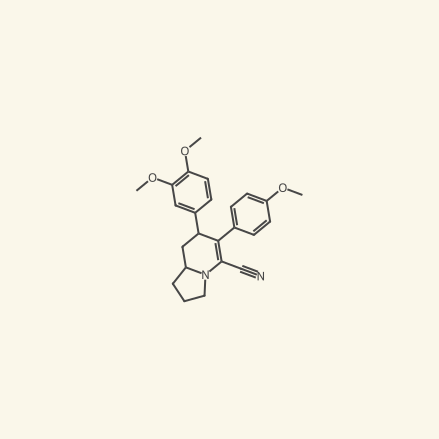 COc1ccc(C2=C(C#N)N3CCCC3CC2c2ccc(OC)c(OC)c2)cc1